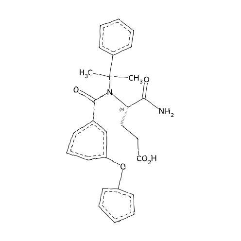 CC(C)(c1ccccc1)N(C(=O)c1cccc(Oc2ccccc2)c1)[C@@H](CCC(=O)O)C(N)=O